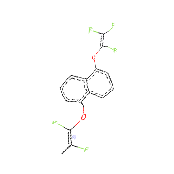 C/C(F)=C(\F)Oc1cccc2c(OC(F)=C(F)F)cccc12